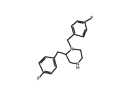 Fc1ccc(CC2CNCCN2Cc2ccc(F)cc2)cc1